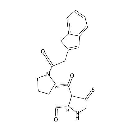 O=C[C@H]1NCC(=S)C1C(=O)[C@@H]1CCCN1C(=O)CC1=Cc2ccccc2C1